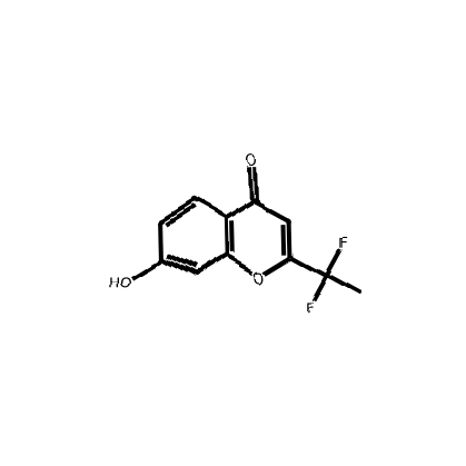 CC(F)(F)c1cc(=O)c2ccc(O)cc2o1